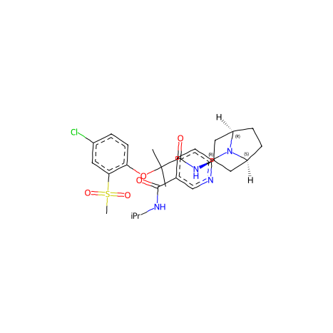 CC(C)NC(=O)c1ccc(N2[C@@H]3CC[C@H]2C[C@@H](NC(=O)C(C)(C)Oc2ccc(Cl)cc2S(C)(=O)=O)C3)nc1